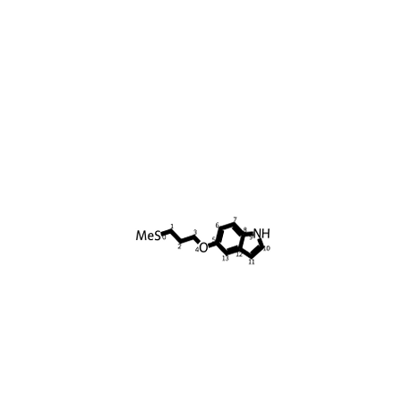 CSCCCOc1ccc2[nH]ccc2c1